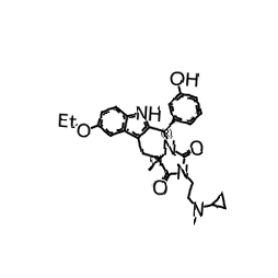 CCOc1ccc2[nH]c3c(c2c1)C[C@@]1(C)C(=O)N(CCN(C)C2CC2)C(=O)N1[C@@H]3c1cccc(O)c1